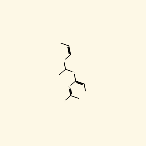 C/C=C\SC(C)NC(=C/CC)/N=C(\C)NC